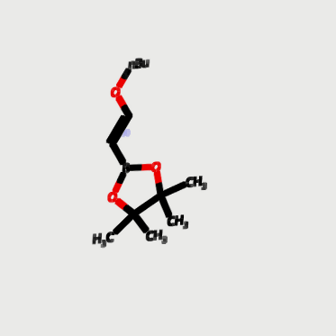 CCCCO/C=C/B1OC(C)(C)C(C)(C)O1